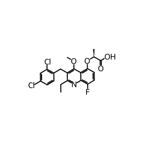 CCc1nc2c(F)ccc(O[C@@H](C)C(=O)O)c2c(OC)c1Cc1ccc(Cl)cc1Cl